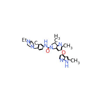 CCN1CCN(Cc2ccc(NC(=O)N3Cc4cc(Oc5ccnc6[nH]c(C)cc56)c(C)nc4C(C)C3)cc2C(F)(F)F)CC1